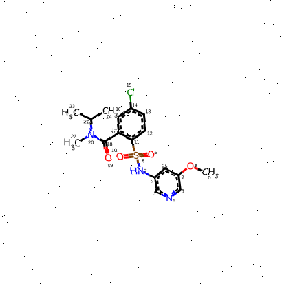 COc1cncc(NS(=O)(=O)c2ccc(Cl)cc2C(=O)N(C)C(C)C)c1